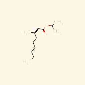 CCCCCC/C(C)=C\C(=O)OC(C)C